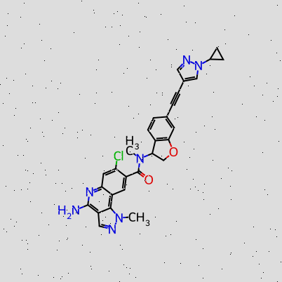 CN(C(=O)c1cc2c(cc1Cl)nc(N)c1cnn(C)c12)C1COc2cc(C#Cc3cnn(C4CC4)c3)ccc21